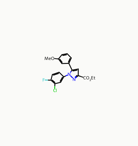 CCOC(=O)c1cc(-c2cccc(OC)c2)n(-c2ccc(F)c(Cl)c2)n1